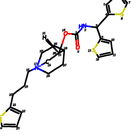 O=C(NC(c1cccs1)c1cccs1)O[C@H]1C[N+]2(CCCc3cccs3)CCC1CC2